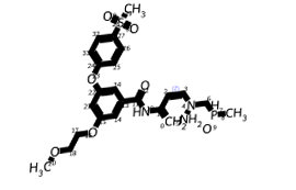 C=C(/C=C\N(N)C[PH](C)=O)NC(=O)c1cc(OCCOC)cc(Oc2ccc(S(C)(=O)=O)cc2)c1